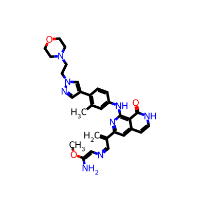 C=C(/C=N\C=C(/N)OC)c1cc2cc[nH]c(=O)c2c(Nc2ccc(-c3cnn(CCN4CCOCC4)c3)c(C)c2)n1